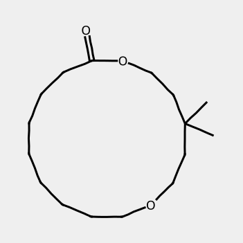 CC1(C)CCOCCCCCCCCC(=O)OCC1